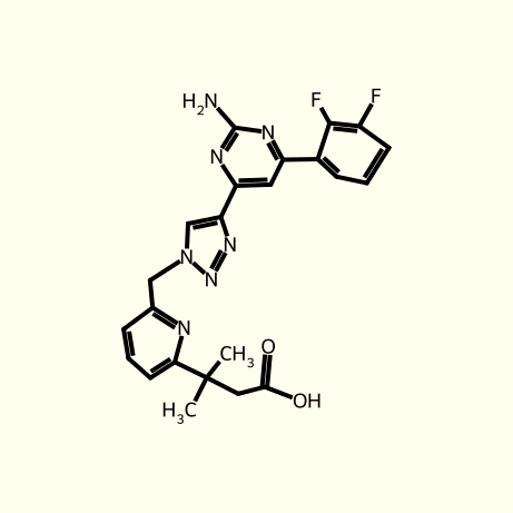 CC(C)(CC(=O)O)c1cccc(Cn2cc(-c3cc(-c4cccc(F)c4F)nc(N)n3)nn2)n1